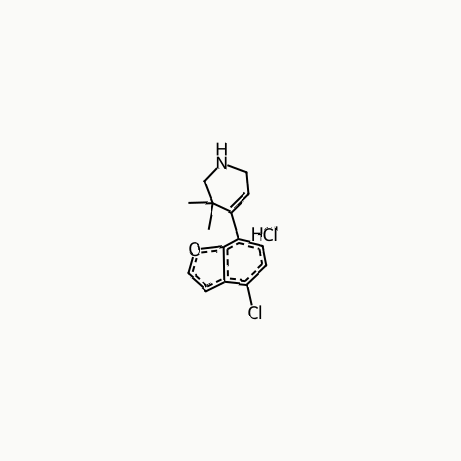 CC1(C)CNCC=C1c1ccc(Cl)c2ccoc12.Cl